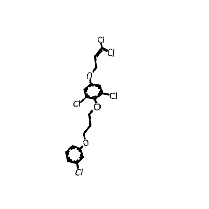 ClC(Cl)=CCOc1cc(Cl)c(OCCCOc2cccc(Cl)c2)c(Cl)c1